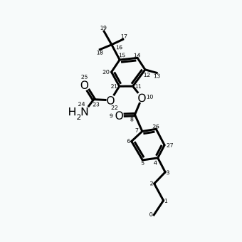 CCCCc1ccc(C(=O)Oc2c(C)cc(C(C)(C)C)cc2OC(N)=O)cc1